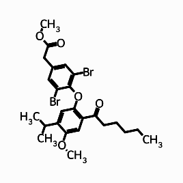 CCCCCC(=O)c1cc(OC)c(C(C)C)cc1Oc1c(Br)cc(CC(=O)OC)cc1Br